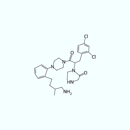 CC(CN)CCc1ccccc1N1CCN(C(=O)C(Cc2ccc(Cl)cc2Cl)N2CCNCC2=O)CC1